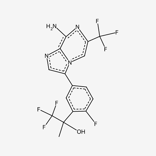 CC(O)(c1cc(-c2cnc3c(N)nc(C(F)(F)F)cn23)ccc1F)C(F)(F)F